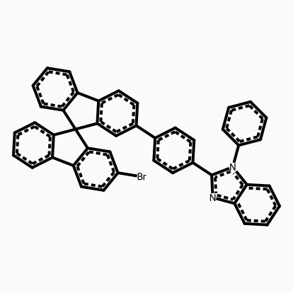 Brc1ccc2c(c1)C1(c3ccccc3-2)c2ccccc2-c2ccc(-c3ccc(-c4nc5ccccc5n4-c4ccccc4)cc3)cc21